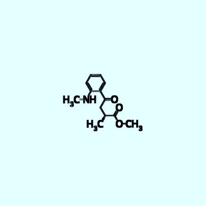 CNc1ccccc1C(=O)C[C@H](C)C(=O)OC